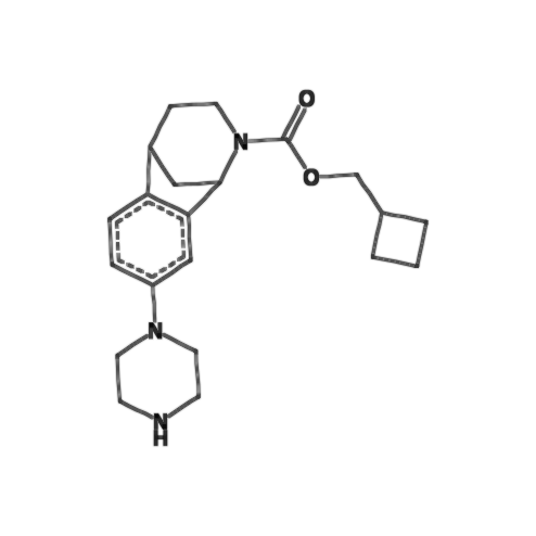 O=C(OCC1CCC1)N1CCC2CC1c1cc(N3CCNCC3)ccc12